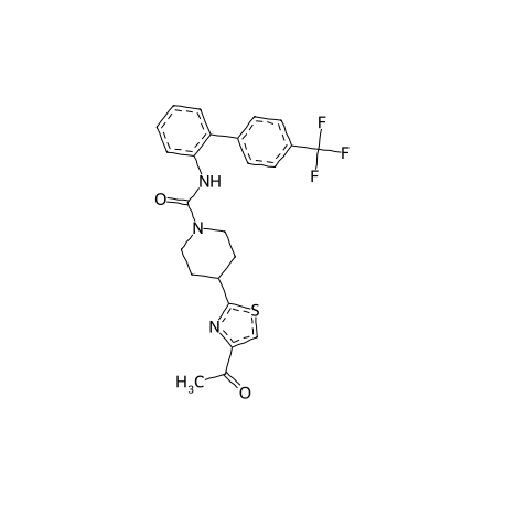 CC(=O)c1csc(C2CCN(C(=O)Nc3ccccc3-c3ccc(C(F)(F)F)cc3)CC2)n1